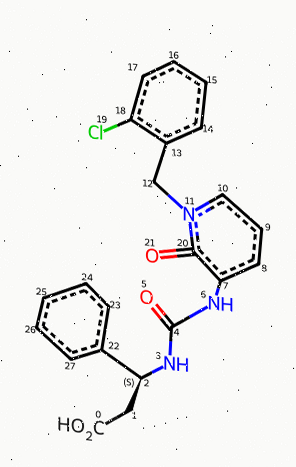 O=C(O)C[C@H](NC(=O)Nc1cccn(Cc2ccccc2Cl)c1=O)c1ccccc1